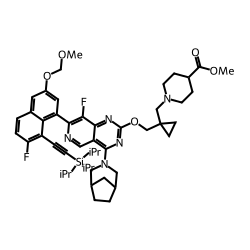 COCOc1cc(-c2ncc3c(N4CC5CCC(C5)C4)nc(OCC4(CN5CCC(C(=O)OC)CC5)CC4)nc3c2F)c2c(C#C[Si](C(C)C)(C(C)C)C(C)C)c(F)ccc2c1